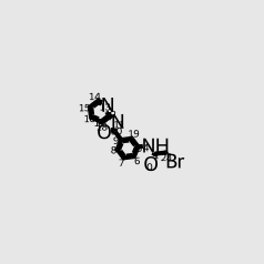 O=C(CBr)Nc1cccc(-c2nc3ncccc3o2)c1